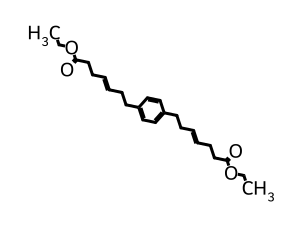 CCOC(=O)CCC=CCCc1ccc(CCC=CCCC(=O)OCC)cc1